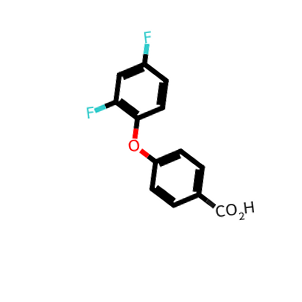 O=C(O)c1ccc(Oc2ccc(F)cc2F)cc1